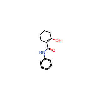 O=C(Nc1ccccc1)C1=C(O)CCCC1